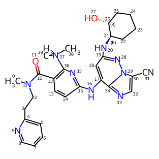 CN(CCc1ccccn1)C(=O)c1ccc(Nc2cc(N[C@@H]3CCCC[C@H]3O)nn3c(C#N)cnc23)nc1N(C)C